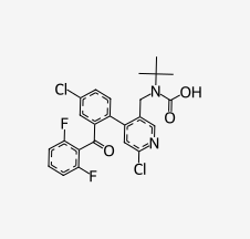 CC(C)(C)N(Cc1cnc(Cl)cc1-c1ccc(Cl)cc1C(=O)c1c(F)cccc1F)C(=O)O